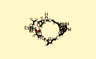 C=C1C[C@@H]2CC[C@@]34C[C@H]5O[C@@H]6[C@@H](O[C@@H](C/C=C/CC(O)C[C@H]7C(C[C@H]8O[C@@H](CCC1O2)C[C@@H](C)C8=C)O[C@H](C[C@H](C)CO[Si](CC)(CC)CC)[C@@H]7C)C(C)[C@@H]6O3)[C@H]5O4